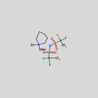 CCCCCC[N+]1(CC)CCCCC1.O=S(=O)([N-]S(=O)(=O)C(F)(F)C(F)(F)F)C(F)(F)C(F)(F)F